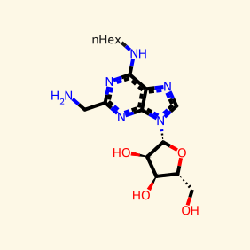 CCCCCCNc1nc(CN)nc2c1ncn2[C@@H]1O[C@H](CO)[C@@H](O)[C@H]1O